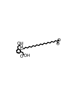 O=C(O)Cc1cccc(CC(=O)O)c1OCCCCCCCCCCCCCCCCCCI(=O)=O